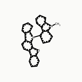 Cn1c2ccccc2c2c(-n3c4ccccc4c4ccc5c6ccccc6sc5c43)cccc21